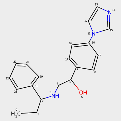 CCC(NCC(O)c1ccc(-n2ccnc2)cc1)c1ccccc1